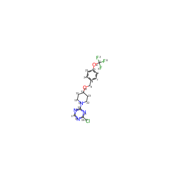 FC(F)(F)Oc1ccc(COC2CCN(c3ncnc(Cl)n3)CC2)cc1